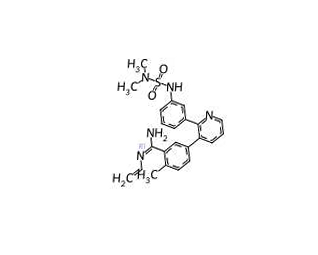 C=C/N=C(/N)c1cc(-c2cccnc2-c2cccc(NS(=O)(=O)N(C)C)c2)ccc1C